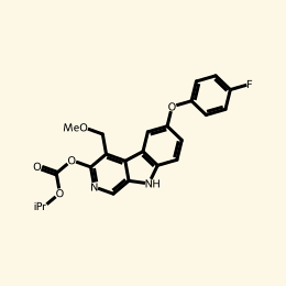 COCc1c(OC(=O)OC(C)C)ncc2[nH]c3ccc(Oc4ccc(F)cc4)cc3c12